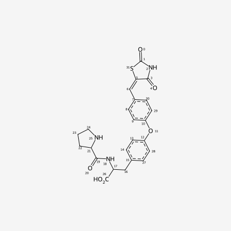 O=C1NC(=O)/C(=C\c2ccc(Oc3ccc(CC(NC(=O)C4CCCN4)C(=O)O)cc3)cc2)S1